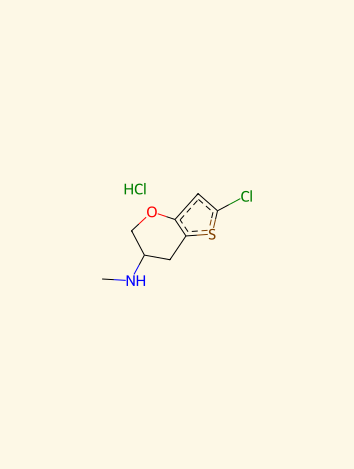 CNC1COc2cc(Cl)sc2C1.Cl